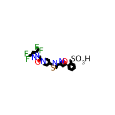 O=C(Cn1nc(C(F)F)cc1C(F)F)N1CCC(c2nc(C3=NO[C@@H](c4ccccc4CS(=O)(=O)O)C3)cs2)CC1